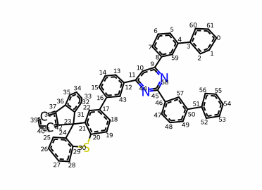 c1ccc(-c2cccc(-c3cc(-c4cccc(-c5ccc6c(c5)C5(c7ccccc7S6)c6ccccc6-c6ccccc65)c4)nc(-c4cccc(-c5ccccc5)c4)n3)c2)cc1